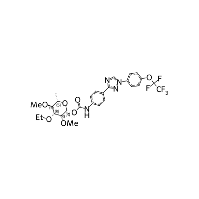 CCO[C@@H]1[C@@H](OC)[C@H](C)O[C@H](OC(=O)Nc2ccc(-c3ncn(-c4ccc(OC(F)(F)C(F)(F)F)cc4)n3)cc2)[C@@H]1OC